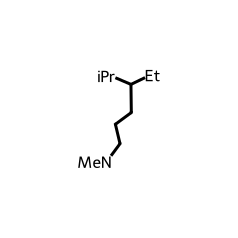 CCC(CCCNC)C(C)C